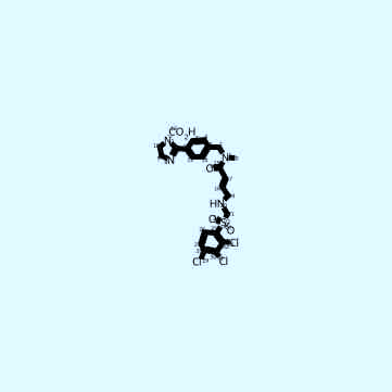 CN(Cc1ccc(C2=NCCN2C(=O)O)cc1)C(=O)C=CCNCS(=O)(=O)c1ccc(Cl)c(Cl)c1Cl